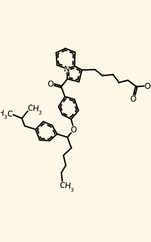 CCCCCC(Oc1ccc(C(=O)c2cc(CCCCCC(=O)O)c3ccccn23)cc1)c1ccc(CC(C)C)cc1